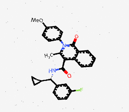 COc1ccc(-n2c(C)c(C(=O)N[C@H](c3cccc(F)c3)C3CC3)c3ccccc3c2=O)cc1